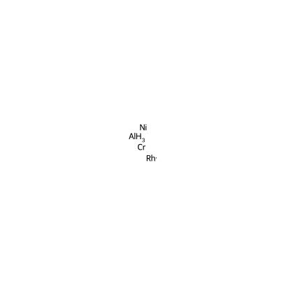 [AlH3].[Cr].[Ni].[Rh]